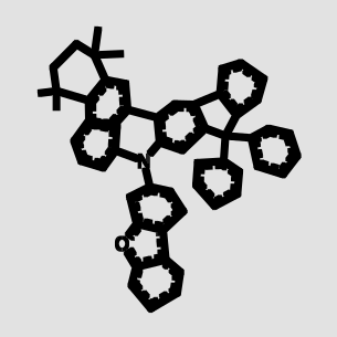 CC1(C)CCC(C)(C)c2cc(-c3cc4c(cc3N(c3ccccc3)c3ccc5c(c3)oc3ccccc35)C(c3ccccc3)(c3ccccc3)c3ccccc3-4)ccc21